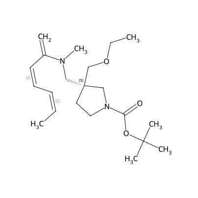 C=C(/C=C\C=C/C)N(C)C[C@@]1(COCC)CCN(C(=O)OC(C)(C)C)C1